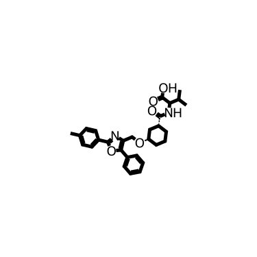 Cc1ccc(-c2nc(CO[C@H]3CCC[C@@H](C(=O)NC(C(=O)O)C(C)C)C3)c(-c3ccccc3)o2)cc1